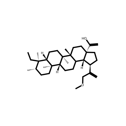 C=C(COC)[C@@H]1CC[C@]2(C(=C)O)CC[C@]3(C)C(CC[C@@H]4[C@@]5(C)CC[C@H](C)[C@@](C)(CC)[C@@H]5CC[C@]43C)[C@@H]12